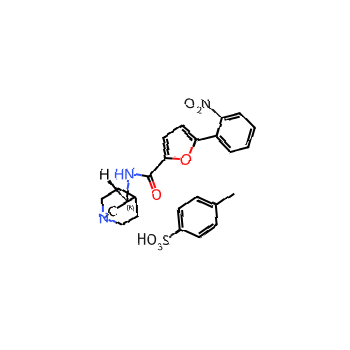 Cc1ccc(S(=O)(=O)O)cc1.O=C(N[C@H]1CN2CCC1CC2)c1ccc(-c2ccccc2[N+](=O)[O-])o1